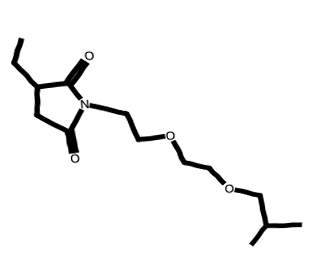 CCC1CC(=O)N(CCOCCOCC(C)C)C1=O